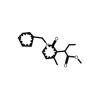 CCC(C(=O)OC)c1c(C)ccn(Cc2ccccc2)c1=O